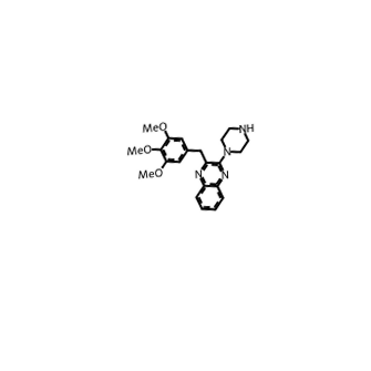 COc1cc(Cc2nc3ccccc3nc2N2CCNCC2)cc(OC)c1OC